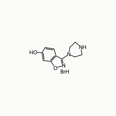 Br.Oc1ccc2c(N3CCNCC3)noc2c1